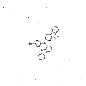 CCCCc1ccc(N(c2ccc3c(c2)C(C)(C)c2ccccc2-3)c2cccc3c2oc2ccccc23)cc1